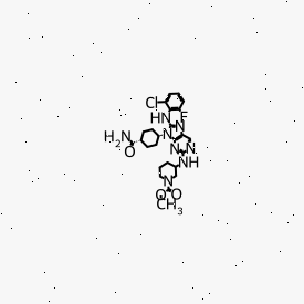 COC(=O)N1CCCC(Nc2ncc3nc(Nc4c(F)cccc4Cl)n([C@H]4CC[C@@H](C(N)=O)CC4)c3n2)C1